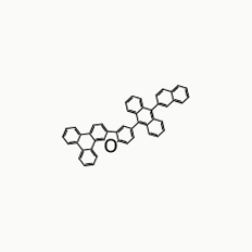 c1ccc2cc(-c3c4ccccc4c(-c4ccc5oc6c(ccc7c8ccccc8c8ccccc8c76)c5c4)c4ccccc34)ccc2c1